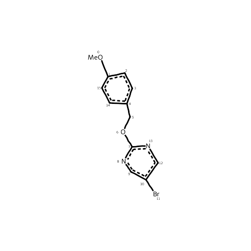 COc1ccc(COc2ncc(Br)cn2)cc1